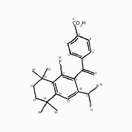 C=C(c1ccc(C(=O)O)cc1)c1c(C(F)F)cc2c(c1F)C(C)(C)CCC2(C)C